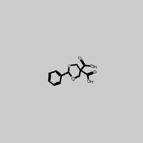 O=C(O)C1(C(=O)O)COC(c2ccccc2)OC1